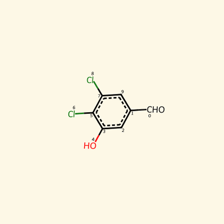 O=Cc1cc(O)c(Cl)c(Cl)c1